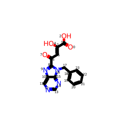 O=C(O)C(O)=CC(=O)c1nc2cncnc2n1Cc1ccccc1